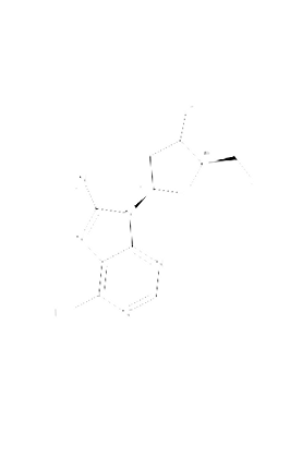 Nc1nc2c(O)ncnc2n1[C@H]1CC(O)[C@@H](CO)O1